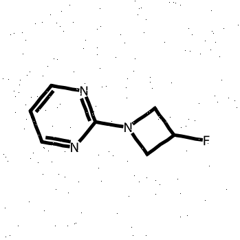 FC1CN(c2ncccn2)C1